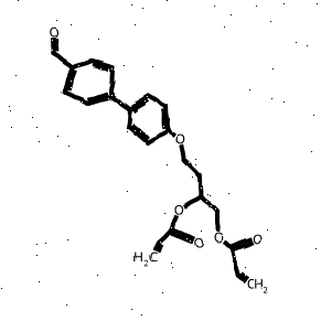 C=CC(=O)OCC(CCOc1ccc(-c2ccc(C=O)cc2)cc1)OC(=O)C=C